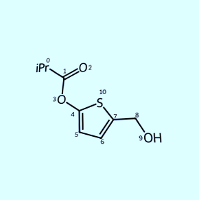 CC(C)C(=O)Oc1ccc(CO)s1